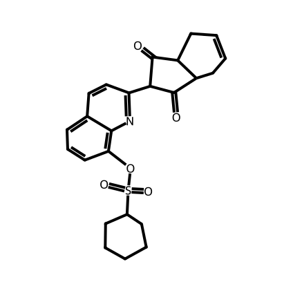 O=C1C(c2ccc3cccc(OS(=O)(=O)C4CCCCC4)c3n2)C(=O)C2CC=CCC12